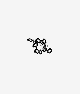 c1ccc(-c2cc(-c3ccccc3)nc(-c3cccc4c3oc3c4ccc4c3c3cc(-c5ccccc5)ccc3n4-c3ccccc3)c2)cc1